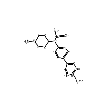 CCCC(=O)N(c1ccc(-c2cnc(OC)nc2)cn1)C1CCC(N)CC1